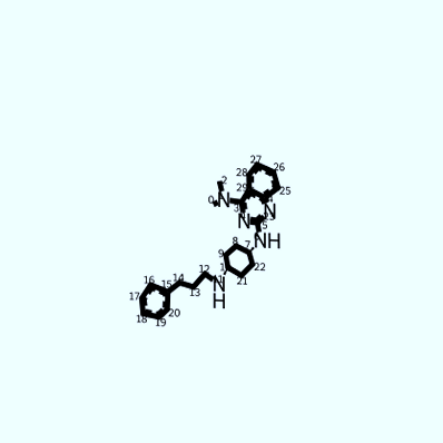 CN(C)c1nc(N[C@H]2CC[C@@H](NCCCc3ccccc3)CC2)nc2ccccc12